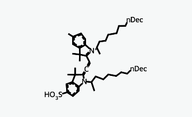 CCCCCCCCCCCCCCCCC(C)N1C(=C=CC2=[N+](C(C)CCCCCCCCCCCCCCCC)c3ccc(C)cc3C2(C)C)C(C)(C)c2cc(S(=O)(=O)O)ccc21